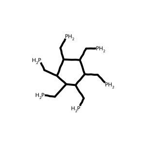 PCC1C(CP)C(CP)C(CP)C(CP)C1CP